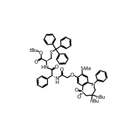 CCCCC1(CCCC)CN(c2ccccc2)c2cc(SC)c(OCC(=O)N[C@@H](C(=O)N[C@H](CSC(c3ccccc3)(c3ccccc3)c3ccccc3)C(=O)OC(C)(C)C)c3ccccc3)cc2S(=O)(=O)C1